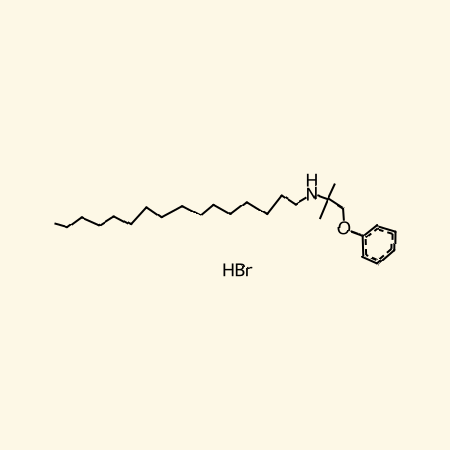 Br.CCCCCCCCCCCCCCCCNC(C)(C)COc1ccccc1